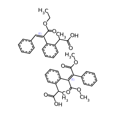 CCOC(=O)/C(=C/c1ccccc1)c1ccccc1C(C)C(=O)O.COC(=O)/C(=C(/C(=O)OC)c1ccccc1C(C)C(=O)O)c1ccccc1